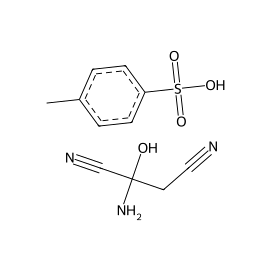 Cc1ccc(S(=O)(=O)O)cc1.N#CCC(N)(O)C#N